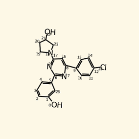 Oc1cccc(-c2nc(-c3ccc(Cl)cc3)cc(N3CCC(O)C3)n2)c1